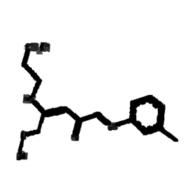 CCOC(=O)CCN/C(=C/C(=O)COc1cccc(C)c1)COC(C)(C)C